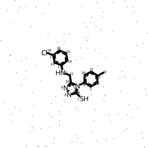 Cc1ccc(-n2c(S)nnc2CNc2cccc(Cl)c2)cc1